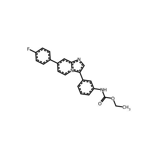 CCOC(=O)Nc1cccc(-c2cnc3cc(-c4ccc(F)cc4)ccn23)c1